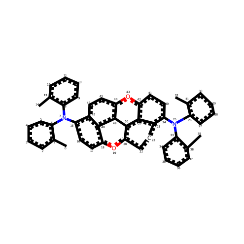 Cc1ccccc1N(c1ccccc1C)c1ccc2oc3ccc4c(N(c5ccccc5C)c5ccccc5C)ccc5oc6ccc1c2c6-c3c54